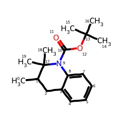 CC1Cc2ccccc2N(C(=O)OC(C)(C)C)C1(C)C